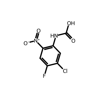 O=C(O)Nc1cc(Cl)c(F)cc1[N+](=O)[O-]